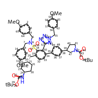 COc1ccc(CN(Cc2ccc(OC)cc2)S(=O)(=O)c2c(C[C@H]3CC[C@H](NC(=O)OC(C)(C)C)CC3)ccc(-c3ccc(C4CCN(C(=O)OC(C)(C)C)C4)cc3)c2-c2nnn(Cc3ccc(OC)cc3)n2)cc1